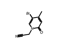 Cc1cc(=O)n(CC#N)cc1Br